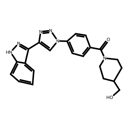 O=C(c1ccc(-n2cc(-c3n[nH]c4ccccc34)nn2)cc1)N1CCC(CO)CC1